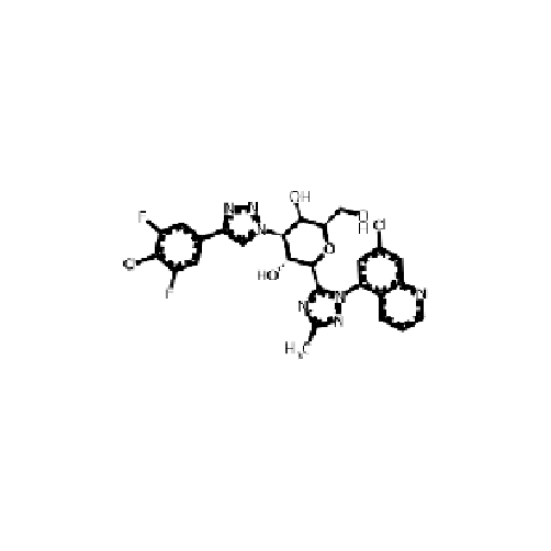 Cc1nc([C@@H]2O[C@H](CO)[C@H](O)[C@H](n3cc(-c4cc(F)c(Cl)c(F)c4)nn3)[C@H]2O)n(-c2cc(Cl)cc3ncccc23)n1